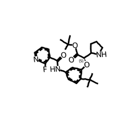 CC(C)(C)OC(=O)[C@@H](Oc1cc(NC(=O)c2cccnc2F)ccc1C(C)(C)C)C1CCCN1